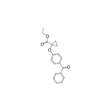 CCOC(=O)C1(Oc2ccc(C(=O)c3ccccc3)cc2)CC1